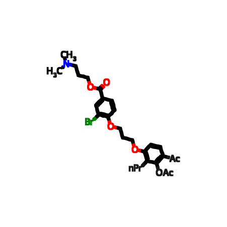 CCCc1c(OCCCOc2ccc(C(=O)OCCCN(C)C)cc2Br)ccc(C(C)=O)c1OC(C)=O